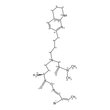 C/C=C(Br)\C=N\OC(=O)[C@@H](N)CCN(CCCCc1ccc2c(n1)NCCC2)CC(=O)N(C)C